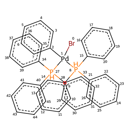 [Br][Pd]([c]1ccccc1)([PH](c1ccccc1)(c1ccccc1)c1ccccc1)[PH](c1ccccc1)(c1ccccc1)c1ccccc1